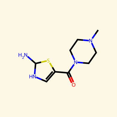 CN1CCN(C(=O)C2=CNC(N)S2)CC1